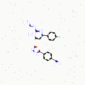 N#Cc1ccc(-c2nnc(Sc3cc(-c4ccc(F)cc4)n/c(=N/C=N)[nH]3)o2)cc1